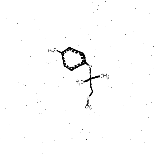 COCC(C)(C)Oc1ccc(C)cc1